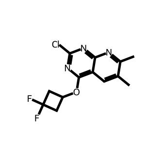 Cc1cc2c(OC3CC(F)(F)C3)nc(Cl)nc2nc1C